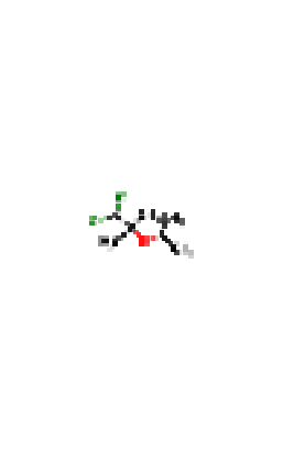 CC(C)OC(C)(C)C(Cl)Cl